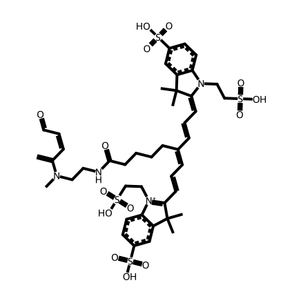 C=C(/C=C\C=O)N(C)CCNC(=O)CCCCC(/C=C/C=C1/N(CCS(=O)(=O)O)c2ccc(S(=O)(=O)O)cc2C1(C)C)=C\C=C\C1=[N+](CCS(=O)(=O)O)c2ccc(S(=O)(=O)O)cc2C1(C)C